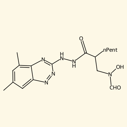 CCCCCC(CN(O)C=O)C(=O)NNc1nnc2cc(C)cc(C)c2n1